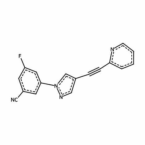 N#Cc1cc(F)cc(-n2cc(C#Cc3ccccn3)cn2)c1